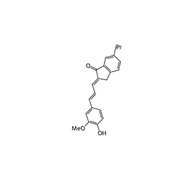 COc1cc(/C=C/C=C2\Cc3ccc(C(C)C)cc3C2=O)ccc1O